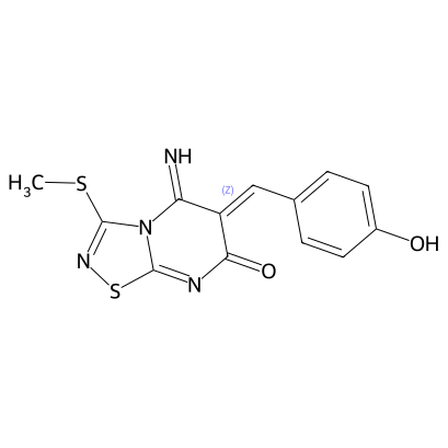 CSC1=NSC2=NC(=O)/C(=C\c3ccc(O)cc3)C(=N)N12